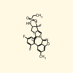 CCS(=O)(=O)N[C@@H]1Cn2c(cn(-c3noc4cc(C)cc(-c5c(F)cc(F)cc5F)c34)c2=O)C1(F)F